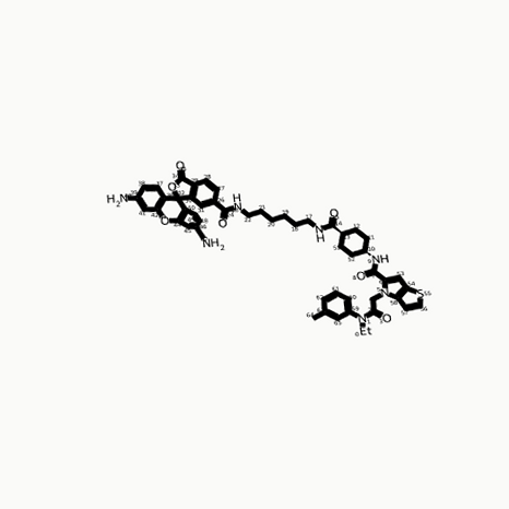 CCN(C(=O)Cn1c(C(=O)N[C@H]2CC[C@H](C(=O)NCCCCCCNC(=O)c3ccc4c(c3)C3(OC4=O)c4ccc(N)cc4Oc4cc(N)ccc43)CC2)cc2sccc21)c1cccc(C)c1